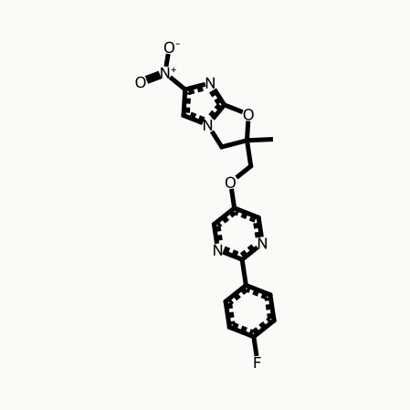 CC1(COc2cnc(-c3ccc(F)cc3)nc2)Cn2cc([N+](=O)[O-])nc2O1